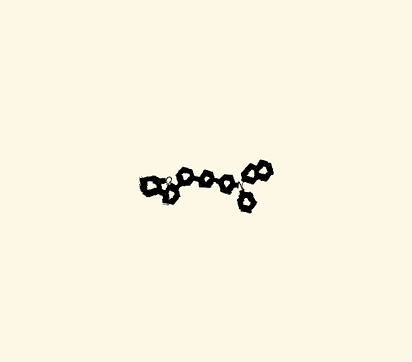 c1ccc(N(c2ccc(-c3ccc(-c4cccc(-c5cccc6c5oc5ccccc56)c4)cc3)cc2)c2ccc3ccccc3c2)cc1